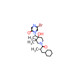 C[C@H](CC1CCCCC1)C(=O)N1CCC(O)(Cn2cc(Br)ncc2=O)C(C)(C)C1